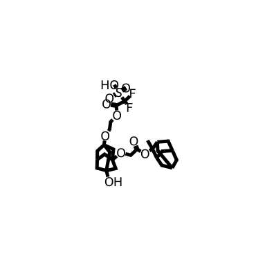 CC1(OC(=O)COC23CC4CC(O)(CC(OCCOC(=O)C(F)(F)S(=O)(=O)O)(C4)C2)C3)C2CC3CC(C2)CC1C3